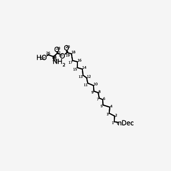 CCCCCCCCCCCCCCCCCCCCCCCCCCCCC(=O)OC(=O)[C@@H](N)CO